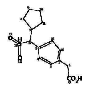 O=C(O)Cc1ccc(C(C2CCCC2)[SH](=O)=O)cc1